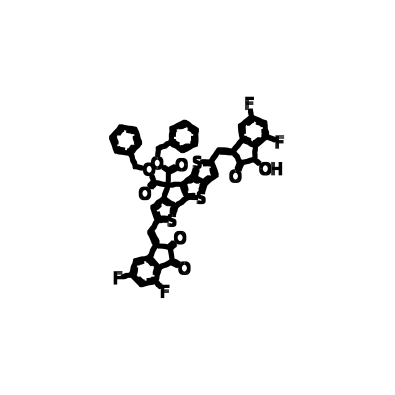 O=C1C(=O)c2c(F)cc(F)cc2/C1=C/c1cc2c(s1)-c1sc3cc(/C=C4\C(=O)C(O)c5c(F)cc(F)cc54)sc3c1C2(C(=O)OCc1ccccc1)C(=O)OCc1ccccc1